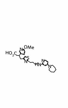 COc1ccc(C(CC(=O)O)Cc2csc(CCCCNc3cc(N4CCCCCC4)ccn3)n2)cn1